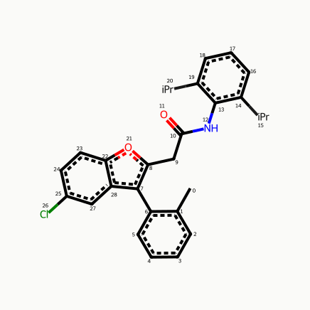 Cc1ccccc1-c1c(CC(=O)Nc2c(C(C)C)cccc2C(C)C)oc2ccc(Cl)cc12